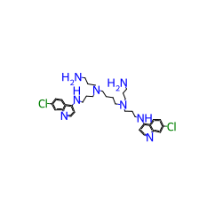 NCCCN(CCCCN(CCCN)CCCNc1ccnc2cc(Cl)ccc12)CCCNc1ccnc2cc(Cl)ccc12